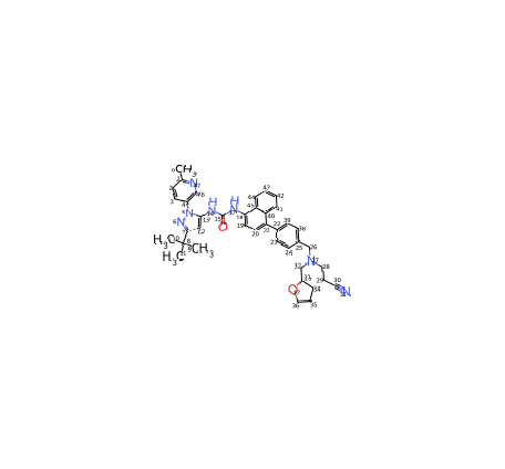 Cc1ccc(-n2nc(C(C)(C)C)cc2NC(=O)Nc2ccc(-c3ccc(CN(CCC#N)CC4CCCO4)cc3)c3ccccc23)cn1